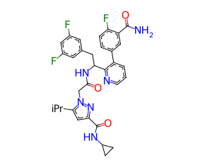 CC(C)c1cc(C(=O)NC2CC2)nn1CC(=O)NC(Cc1cc(F)cc(F)c1)c1ncccc1-c1ccc(F)c(C(N)=O)c1